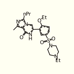 CCCc1nc(C)c2c(=O)[nH]c(-c3cc(S(=O)(=O)N4CCN(CC)CC4)ccc3OCC)cn12